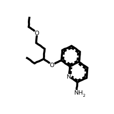 CCOCCC(CC)Oc1cccc2ccc(N)nc12